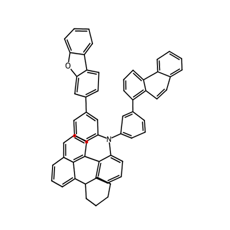 c1cc(-c2ccc3c(c2)oc2ccccc23)cc(N(c2cccc(-c3cccc4c3ccc3ccccc34)c2)c2ccccc2-c2cccc3cccc(C4CCCCC4)c23)c1